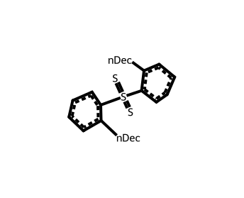 CCCCCCCCCCc1ccccc1S(=S)(=S)c1ccccc1CCCCCCCCCC